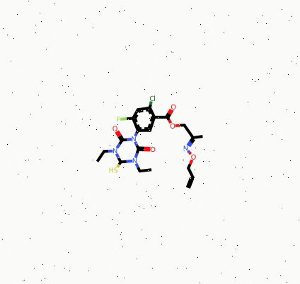 C=CCON=C(C)COC(=O)c1cc(N2C(=O)N(CC)C(S)N(CC)C2=O)c(F)cc1Cl